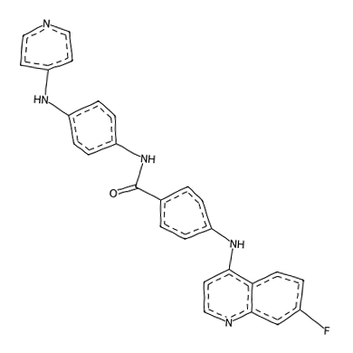 O=C(Nc1ccc(Nc2ccncc2)cc1)c1ccc(Nc2ccnc3cc(F)ccc23)cc1